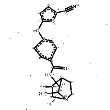 C[C@H]1[C@H](NC(=O)c2ccc(Oc3ccc(C#N)s3)cc2)C2CCN1CC2